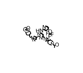 CC(=O)N1CCC2(CC1)CN(c1cc(Nc3cc(OC(F)(F)F)ccn3)nc(-c3cnn(CC4CCS(=O)(=O)CC4)c3)n1)C2